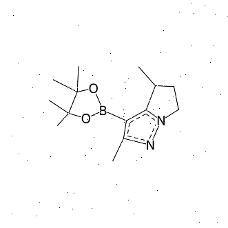 Cc1nn2c(c1B1OC(C)(C)C(C)(C)O1)C(C)CC2